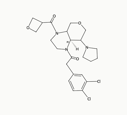 O=C(C1COC1)N1CCN(C(=O)Cc2ccc(Cl)c(Cl)c2)[C@@H]2C(N3CCCC3)COCC21